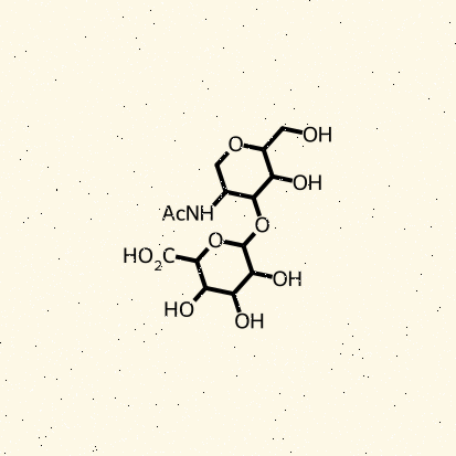 CC(=O)NC1COC(CO)C(O)C1OC1OC(C(=O)O)C(O)C(O)C1O